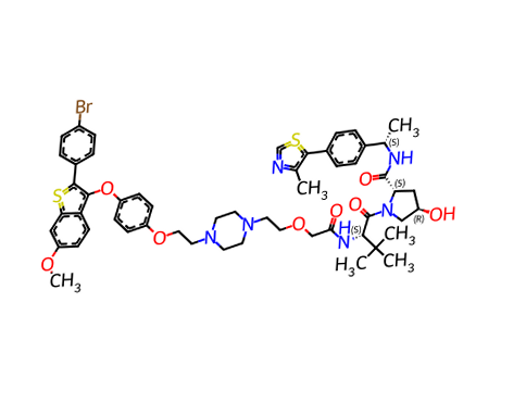 COc1ccc2c(Oc3ccc(OCCN4CCN(CCOCC(=O)N[C@H](C(=O)N5C[C@H](O)C[C@H]5C(=O)N[C@@H](C)c5ccc(-c6scnc6C)cc5)C(C)(C)C)CC4)cc3)c(-c3ccc(Br)cc3)sc2c1